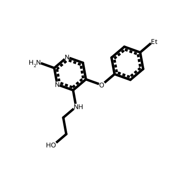 CCc1ccc(Oc2cnc(N)nc2NCCO)cc1